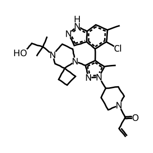 C=CC(=O)N1CCC(n2nc(N3CCN(C(C)(C)CO)CC34CCC4)c(-c3c(Cl)c(C)cc4[nH]ncc34)c2C)CC1